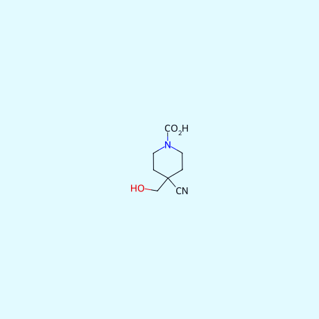 N#CC1(CO)CCN(C(=O)O)CC1